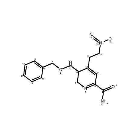 NC(=O)C1=NCC(NOCc2ccccc2)C(CC[N+](=O)[O-])=C1